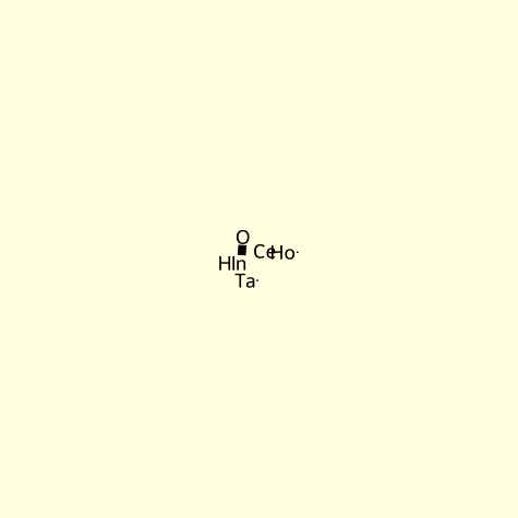 [Ce].[Ho].[O]=[InH].[Ta]